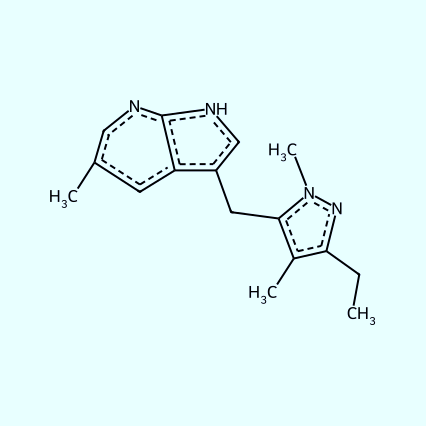 CCc1nn(C)c(Cc2c[nH]c3ncc(C)cc23)c1C